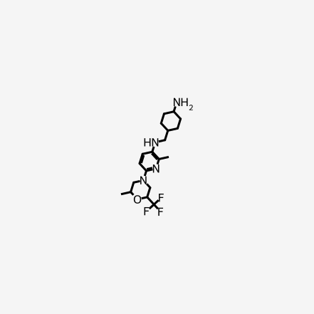 Cc1nc(N2CC(C)OC(C(F)(F)F)C2)ccc1NCC1CCC(N)CC1